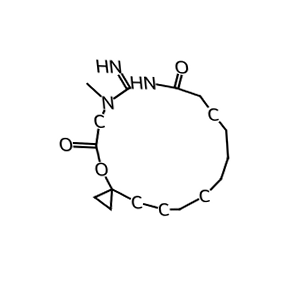 CN1CC(=O)OC2(CCCCCCCCCC(=O)NC1=N)CC2